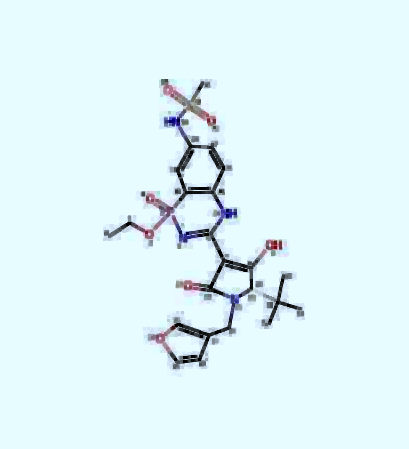 CCOP1(=O)N=C(C2=C(O)[C@H](C(C)(C)C)N(Cc3ccoc3)C2=O)Nc2ccc(NS(C)(=O)=O)cc21